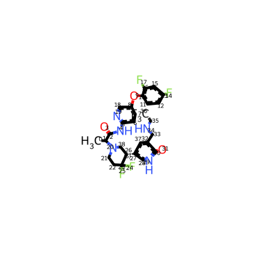 CC(C(=O)Nc1ccc(Oc2ccc(F)cc2F)cn1)N1CCC(F)(F)[C@@H](c2c[nH]c(=O)c(CNCC(F)(F)F)c2)C1